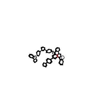 c1ccc(-c2ccc(-c3cccc(N(c4ccc(-c5cccc(-c6ccc(-n7c8ccccc8c8ccccc87)cc6)c5)cc4)c4ccccc4-c4ccc5c(c4)oc4ccccc45)c3)cc2)cc1